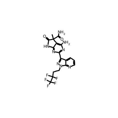 CC1(C(N)=O)C(=O)Nc2nc(-c3nn(CCC(F)(F)C(F)(F)F)c4ncccc34)nc(N)c21